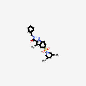 CC1CC(C)CN(S(=O)(=O)c2ccc3c(c2)C(C)C(C(=O)NCc2ccccc2)N3)C1